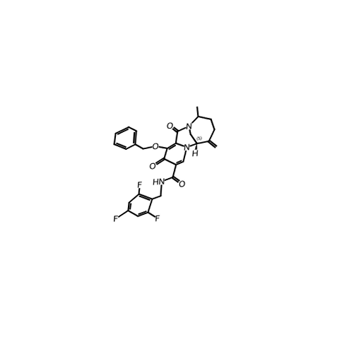 C=C1CCC(C)N2C[C@H]1n1cc(C(=O)NCc3c(F)cc(F)cc3F)c(=O)c(OCc3ccccc3)c1C2=O